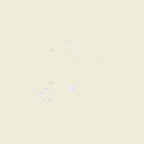 B[C@@](C)(NC(=O)[C@H](C)F)c1cc(F)cc(Cl)c1COc1cccc2c(-c3ncnn3C)cc(C)nc12